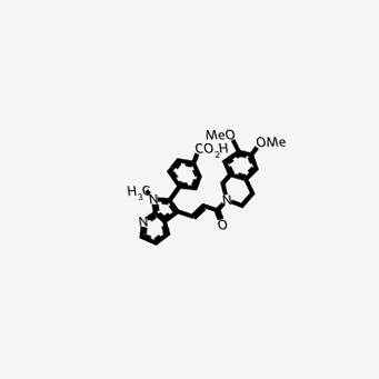 COc1cc2c(cc1OC)CN(C(=O)/C=C/c1c(-c3ccc(C(=O)O)cc3)n(C)c3ncccc13)CC2